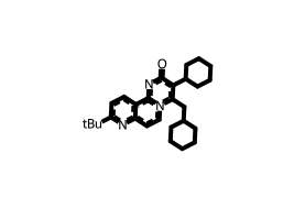 CC(C)(C)c1ccc2c(ccn3c(CC4CCCCC4)c(C4CCCCC4)c(=O)nc23)n1